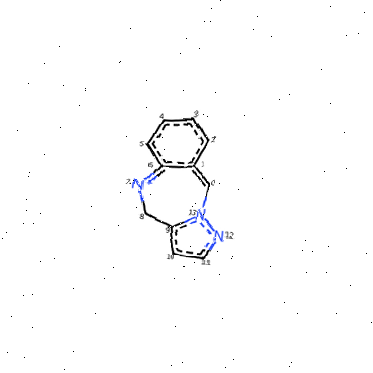 C1=c2ccccc2=[N+]Cc2ccnn21